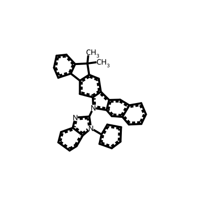 CC1(C)c2ccccc2-c2cc3c(cc21)c1cc2ccccc2cc1n3-c1nc2ccccc2n1-c1ccccc1